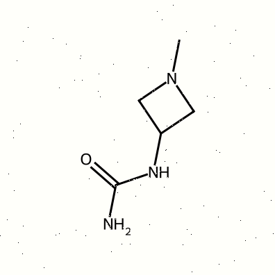 CN1CC(NC(N)=O)C1